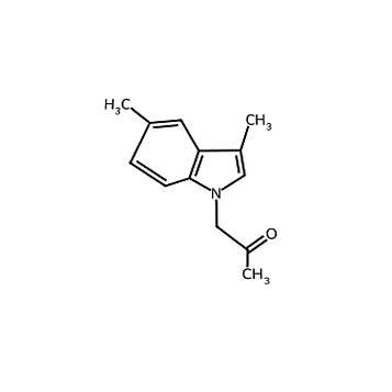 CC(=O)Cn1cc(C)c2cc(C)ccc21